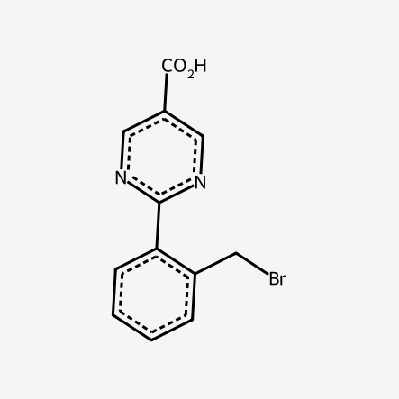 O=C(O)c1cnc(-c2ccccc2CBr)nc1